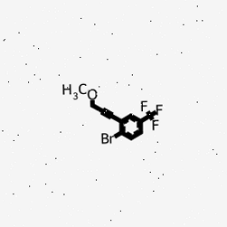 COCC#Cc1cc(C(F)(F)F)ccc1Br